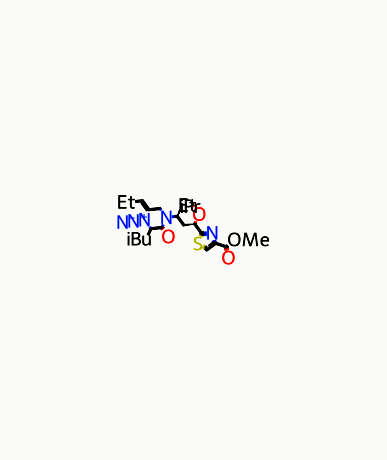 CC/C=C/CN(C(=O)C(N=[N+]=[N-])C(C)CC)[C@H](C[C@@H](OCC)c1nc(C(=O)OC)cs1)C(C)C